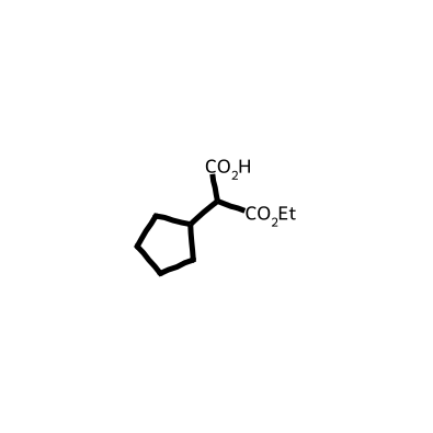 CCOC(=O)C(C(=O)O)C1CCCC1